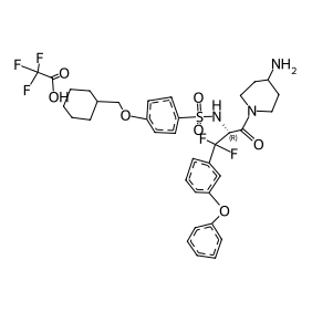 NC1CCN(C(=O)[C@@H](NS(=O)(=O)c2ccc(OCC3CCCCC3)cc2)C(F)(F)c2cccc(Oc3ccccc3)c2)CC1.O=C(O)C(F)(F)F